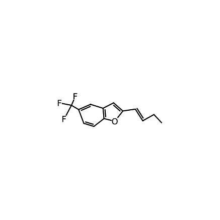 CC/C=C/c1cc2cc(C(F)(F)F)ccc2o1